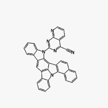 N#Cc1nc(-n2c3ccccc3c3cc4c5ccccc5n5c6c7ccccc7ccc6c(c32)c45)nc2ncccc12